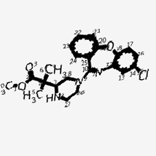 COC(=O)C(C)(C)C1CN(C2=Nc3cc(Cl)ccc3Oc3ccccc32)CCN1